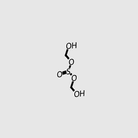 O=S(OCO)OCO